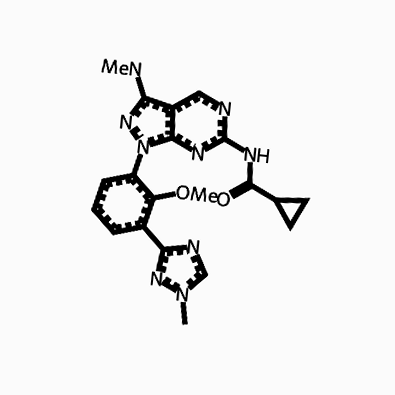 CNc1nn(-c2cccc(-c3ncn(C)n3)c2OC)c2nc(NC(=O)C3CC3)ncc12